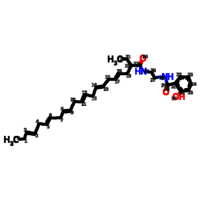 CCC=CCC=CCC=CCC=CCC=CCC=CCC(CC)C(=O)NCCNC(=O)c1ccccc1O